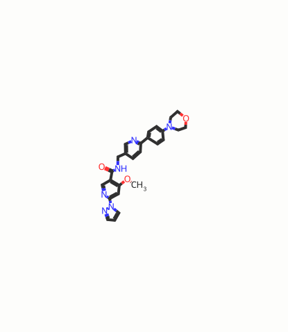 COc1cc(-n2cccn2)ncc1C(=O)NCc1ccc(-c2ccc(N3CCOCC3)cc2)nc1